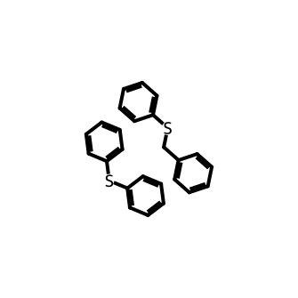 c1ccc(CSc2ccccc2)cc1.c1ccc(Sc2ccccc2)cc1